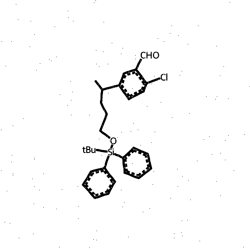 CC(CCCO[Si](c1ccccc1)(c1ccccc1)C(C)(C)C)c1ccc(Cl)c(C=O)c1